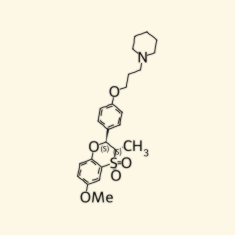 COc1ccc2c(c1)S(=O)(=O)[C@@H](C)[C@H](c1ccc(OCCCN3CCCCC3)cc1)O2